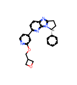 c1ccc([C@H]2CCc3nc4ccc(-c5ccnc(OCC6COC6)c5)nc4n32)cc1